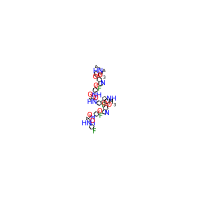 COc1cc2c(Oc3ccc(NC(=O)C4(C(=O)Nc5ccc(F)c(C6CCC(NC7(COc8cc9nccc(Oc%10ccc(NC(=O)C%11(C(=O)Nc%12ccc(F)cc%12)CC%11)cc%10F)c9cc8OC)CC7)C6)c5)CC4)cc3F)ccnc2cc1OCC1(NCC2CC2)CC1